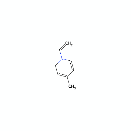 C=CN1C=CC(C)=CC1